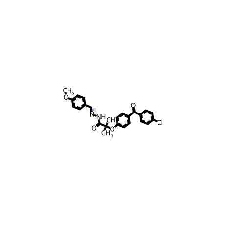 COc1ccc(/C=N/NC(=O)C(C)(C)Oc2ccc(C(=O)c3ccc(Cl)cc3)cc2)cc1